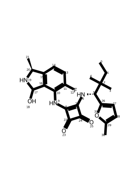 CCC(C)(C)[C@@H](Nc1c(Nc2c(F)ccc3c2C(O)N[C@H]3C)c(=O)c1=O)c1ccc(C)o1